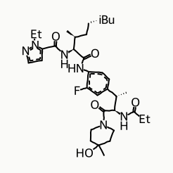 CCC(=O)N[C@@H](C(=O)N1CCC(C)(O)CC1)[C@@H](C)c1ccc(NC(=O)[C@@H](NC(=O)c2ccnn2CC)[C@@H](C)CC[C@@H](C)CC)c(F)c1